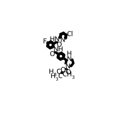 CC(C)(C)OC(=O)N1CCCNC(c2ccc(C(=O)Nc3ccc(F)cc3C(=O)Nc3ccc(Cl)cn3)cc2)C1